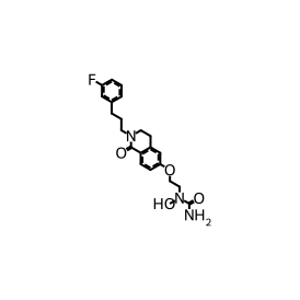 NC(=O)N(O)CCOc1ccc2c(c1)CCN(CCCc1cccc(F)c1)C2=O